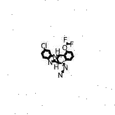 N#C/N=S1/c2cccc(OC(F)F)c2[C@H]2C[C@@H]1c1nc3ccc(Cl)cc3n12